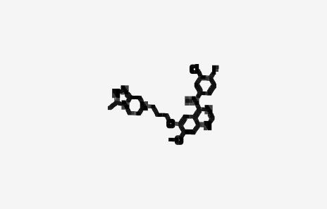 COc1cc2ncnc(Nc3ccc(F)c(Cl)c3)c2cc1OCCCN1CCn2c(C)nnc2C1